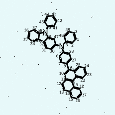 c1ccc(N(c2ccc(-c3cc4ccc5ccccc5c4c4ccccc34)cc2)c2ccc3c4ccccc4n(-c4ccccc4)c3c2)cc1